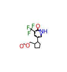 O=COCC1CCCC1c1c[nH]c(=O)c(C(F)(F)F)c1